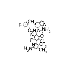 Cc1cc(N)nc(-c2c(Cl)c3c4c(nc(OC[C@@H]5C[C@@H](F)CN5C)nc4c2F)N([C@@H]2CCCc4ccnc(N)c42)CCO3)c1C(F)(F)F